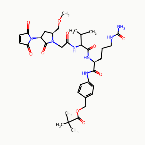 COC[C@@H]1C[C@H](N2C(=O)C=CC2=O)C(=O)N1CC(=O)N[C@H](C(=O)N[C@@H](CCCNC(N)=O)C(=O)Nc1ccc(COC(=O)C(C)(C)C)cc1)C(C)C